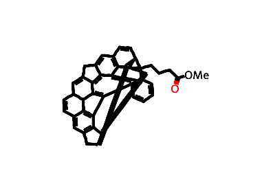 COC(=O)CCCC1(c2ccccc2)C23C=Cc4cc5c6c7c8c9c%10c%11c(cc%12c%10c(c%10c9c6c4C%1021)C(=C3)C%12)C=CC(C=C7C5)C%118